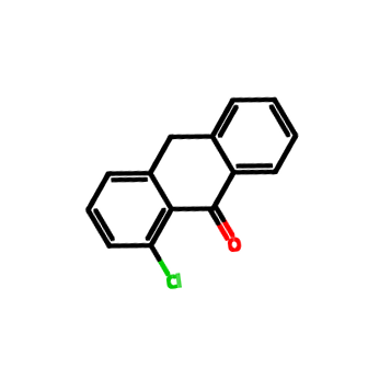 O=C1c2ccccc2Cc2cccc(Cl)c21